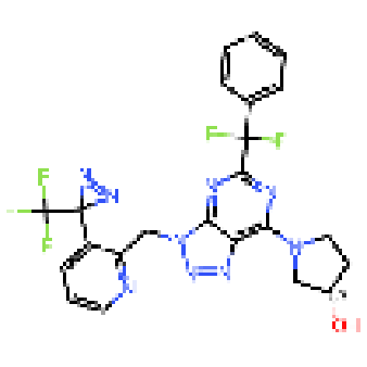 O[C@H]1CCN(c2nc(C(F)(F)c3ccccc3)nc3c2nnn3Cc2ncccc2C2(C(F)(F)F)N=N2)C1